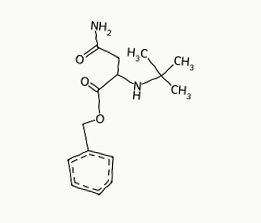 CC(C)(C)NC(CC(N)=O)C(=O)OCc1ccccc1